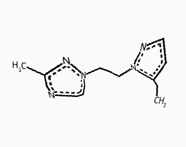 Cc1ncn(CCn2nccc2C)n1